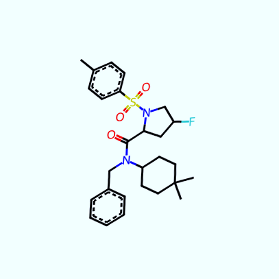 Cc1ccc(S(=O)(=O)N2CC(F)CC2C(=O)N(Cc2ccccc2)C2CCC(C)(C)CC2)cc1